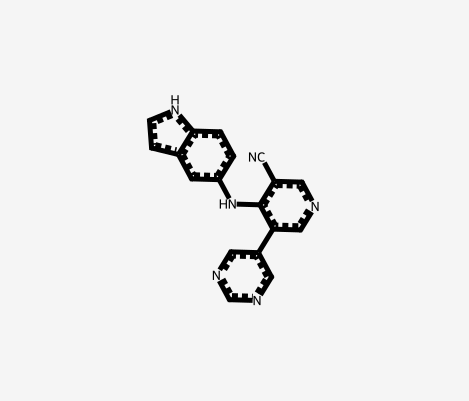 N#Cc1cncc(-c2cncnc2)c1Nc1ccc2[nH]ccc2c1